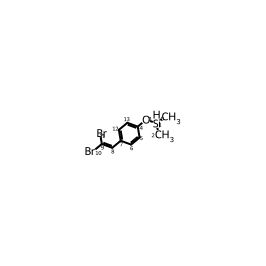 C[SiH](C)Oc1ccc(C=C(Br)Br)cc1